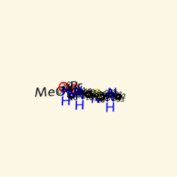 COC(=O)N[C@H](C(=O)N1CCC[C@H]1c1ncc(-c2ccc(-c3nc4ccc(-c5cnc(C6CCCC6)[nH]5)cc4s3)cc2)[nH]1)C(C)C